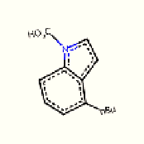 CCCCc1cccc2c1ccn2C(=O)O